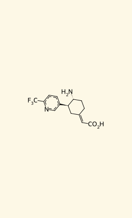 N[C@@H]1CC/C(=C\C(=O)O)C[C@H]1c1ccc(C(F)(F)F)nc1